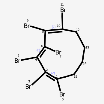 Br/C1=C(Br)/C(Br)=C(Br)/C(Br)=C(/Br)CCCC1